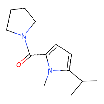 CC(C)c1ccc(C(=O)N2CCCC2)n1C